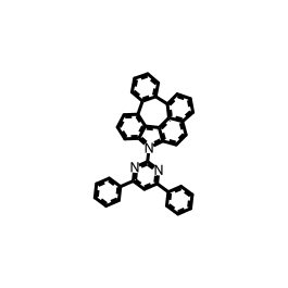 c1ccc(-c2cc(-c3ccccc3)nc(-n3c4cccc5c4c4c6c(cccc6ccc43)-c3ccccc3-5)n2)cc1